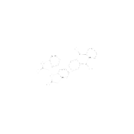 O=C1Cc2ccccc2O1.O=C1Cc2ccccc2O1.O=C1c2ccccc2C(=O)c2ccccc21